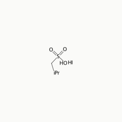 CC(C)CS(=O)(=O)O.I